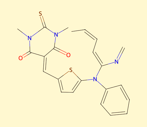 C=N/C(=C\C=C/C)N(c1ccccc1)c1ccc(C=C2C(=O)N(C)C(=S)N(C)C2=O)s1